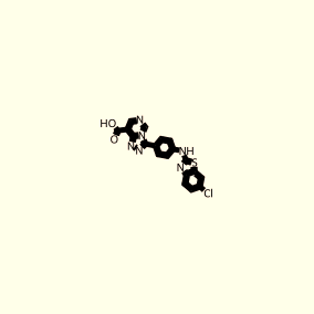 O=C(O)c1cncn2c(-c3ccc(Nc4nc5ccc(Cl)cc5s4)cc3)nnc12